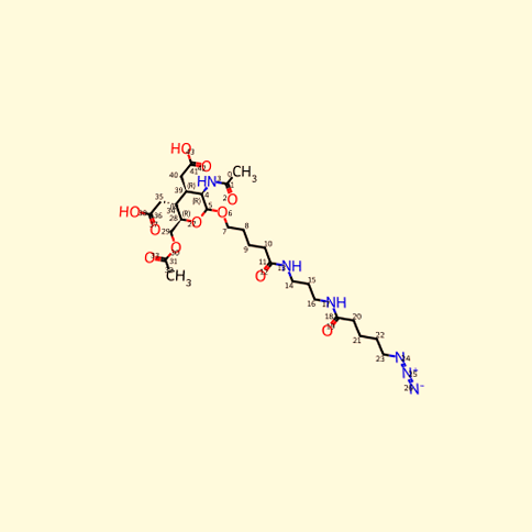 CC(=O)N[C@H]1C(OCCCCC(=O)NCCCNC(=O)CCCCN=[N+]=[N-])O[C@@H](COC(C)=O)[C@H](CC(=O)O)[C@H]1CC(=O)O